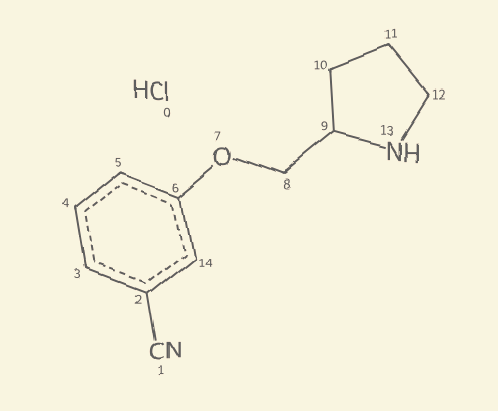 Cl.N#Cc1cccc(OCC2CCCN2)c1